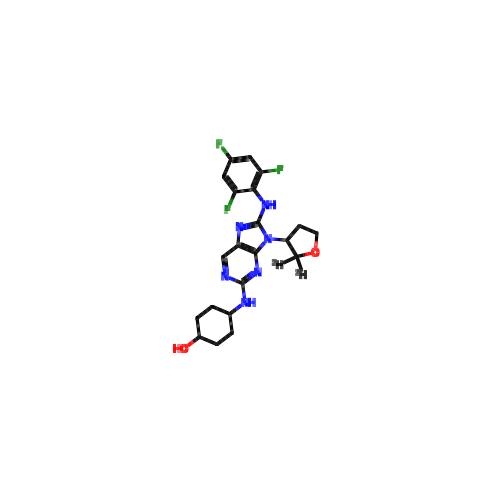 [2H]C1([2H])OCCC1n1c(Nc2c(F)cc(F)cc2F)nc2cnc(NC3CCC(O)CC3)nc21